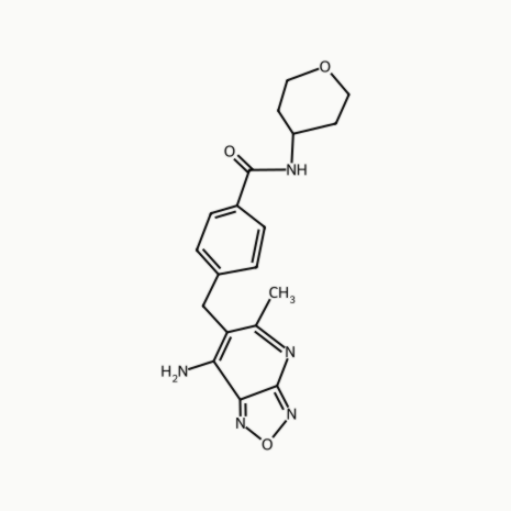 Cc1nc2nonc2c(N)c1Cc1ccc(C(=O)NC2CCOCC2)cc1